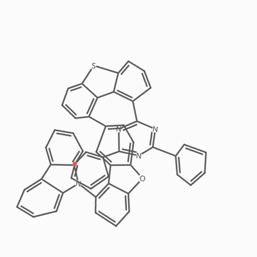 c1ccc(-c2nc(-c3ccccc3)nc(-c3cccc4sc5cccc(-c6ccc7oc8cccc(-n9c%10ccccc%10c%10ccccc%109)c8c7c6)c5c34)n2)cc1